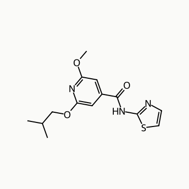 COc1cc(C(=O)Nc2nccs2)cc(OCC(C)C)n1